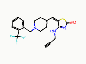 C#CCNC1=NC(=O)SC1=CC1CCN(Cc2ccccc2C(F)(F)F)CC1